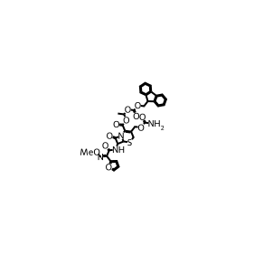 CO/N=C(\C(=O)NC1C(=O)N2C(C(=O)OC(C)OC(=O)OCC3c4ccccc4-c4ccccc43)=C(COC(N)=O)CSC12)c1ccco1